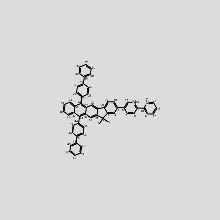 CC1(C)c2cc(-c3ccc(-c4ccccn4)nc3)ccc2-c2cc3c(-c4ccc(-c5ccccc5)cc4)c4ccccc4c(-c4ccc(-c5ccccc5)cc4)c3cc21